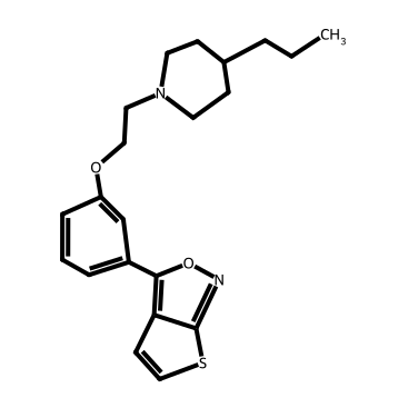 CCCC1CCN(CCOc2cccc(-c3onc4sccc34)c2)CC1